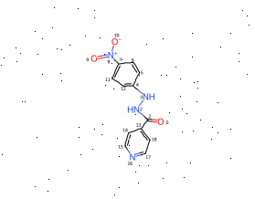 O=C(NNc1ccc([N+](=O)[O-])cc1)c1ccncc1